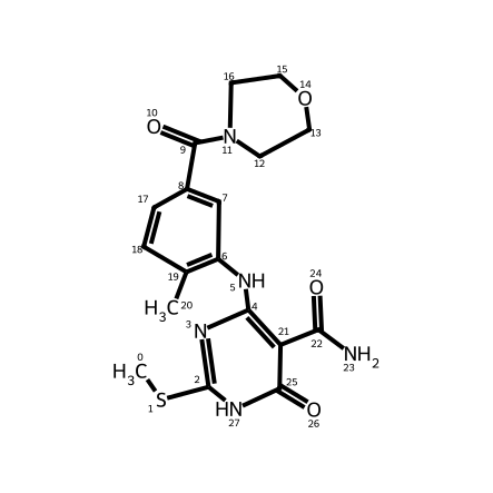 CSc1nc(Nc2cc(C(=O)N3CCOCC3)ccc2C)c(C(N)=O)c(=O)[nH]1